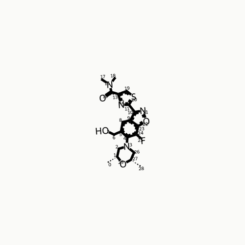 C[C@@H]1CN(c2c(CO)cc3c(-c4nc(C(=O)N(C)C)cs4)noc3c2F)C[C@H](C)O1